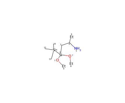 CCO[Si](CC(N)CC)(OCC)[Si](C)(C)C